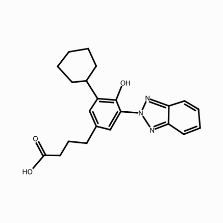 O=C(O)CCCc1cc(C2CCCCC2)c(O)c(-n2nc3ccccc3n2)c1